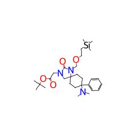 CN(C)C1(c2ccccc2)CCC2(CC1)CN(CC(=O)OC(C)(C)C)C(=O)N2COCC[Si](C)(C)C